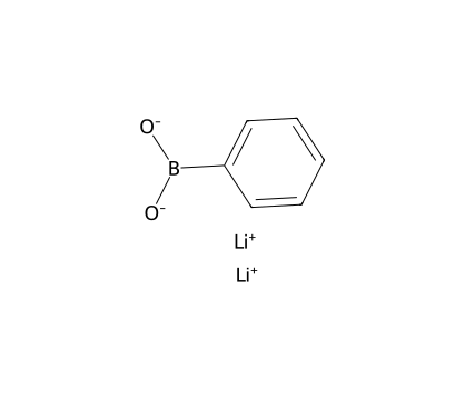 [Li+].[Li+].[O-]B([O-])c1ccccc1